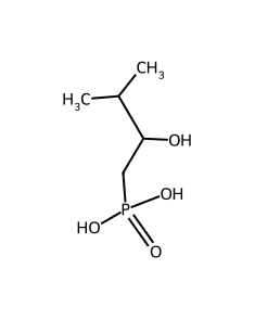 CC(C)C(O)CP(=O)(O)O